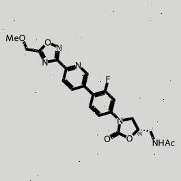 COCc1nc(-c2ccc(-c3ccc(N4C[C@H](CNC(C)=O)OC4=O)cc3F)cn2)no1